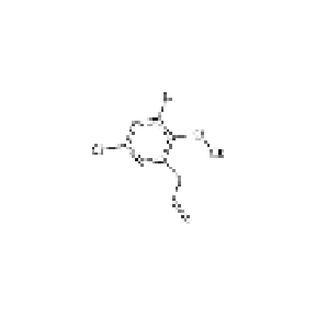 C=CCc1cc(Cl)cc(Cl)c1OCC